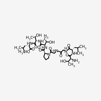 CC(C)C[C@H](NC(=O)[C@@H](NC(=O)[C@@H](NC(=O)[C@@H]1CCCN1C(=O)CNC(=O)CNC(=O)[C@H](CC(C)C)NC(=O)[C@@H](N)[C@@H](C)O)[C@@H](C)O)[C@@H](C)O)C(=O)O